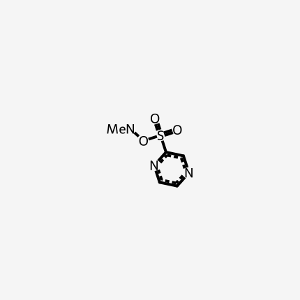 CNOS(=O)(=O)c1cnccn1